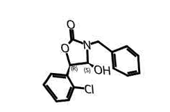 O=C1O[C@H](c2ccccc2Cl)[C@H](O)N1Cc1ccccc1